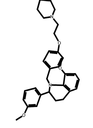 COc1cccc(C2CCc3cccc(OC)c3N2Cc2ccc(OCCN3CCCCC3)cc2)c1